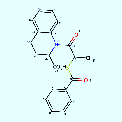 CC(SC(=O)c1ccccc1)C(=O)N1c2ccccc2CCC1C(=O)O